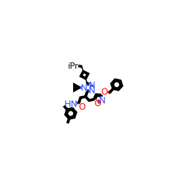 Cc1ccc(NC(=O)CC(Cc2cc(OCc3ccccc3)no2)c2nnc([C@H]3C[C@@H](CC(C)C)C3)n2C2CC2)c(C)c1